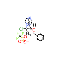 C[C@@H](OCc1ccccc1)[C@@H]1CN2CC[N+]1(CCl)CC2.O=S(=O)(O)C(F)(F)F